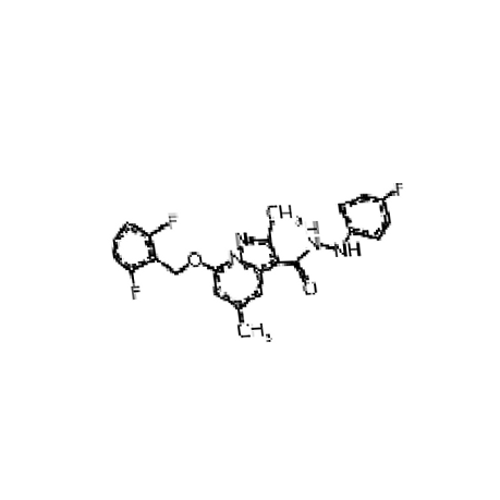 Cc1cc(OCc2c(F)cccc2F)n2nc(C)c(C(=O)NNc3ccc(F)cc3)c2c1